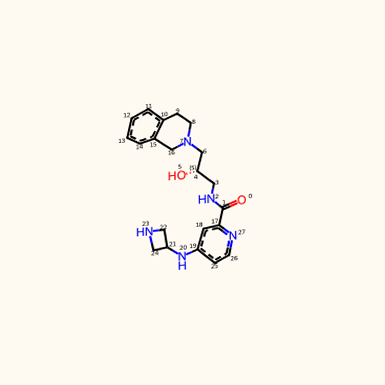 O=C(NC[C@H](O)CN1CCc2ccccc2C1)c1cc(NC2CNC2)ccn1